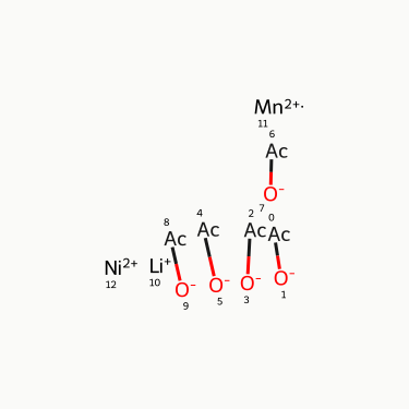 CC(=O)[O-].CC(=O)[O-].CC(=O)[O-].CC(=O)[O-].CC(=O)[O-].[Li+].[Mn+2].[Ni+2]